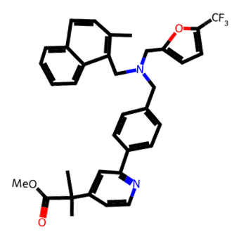 COC(=O)C(C)(C)c1ccnc(-c2ccc(CN(Cc3ccc(C(F)(F)F)o3)Cc3c(C)ccc4ccccc34)cc2)c1